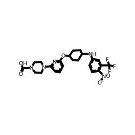 O=C(O)N1CCN(c2cccc(OC3CCC(Nc4ccc([N+](=O)[O-])c(C(F)(F)F)c4)CC3)n2)CC1